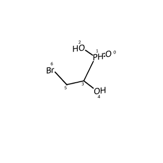 O=[PH](O)C(O)CBr